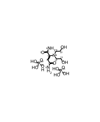 NC(=O)/C=C(/C(N)=O)N(CCO)CCO.O=P(O)(O)O.O=P(O)(O)O